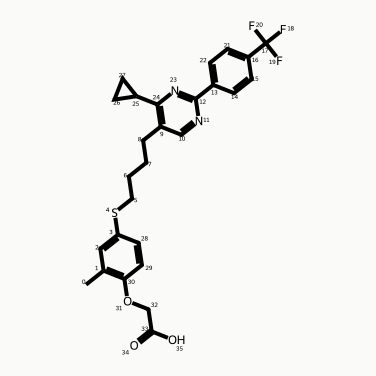 Cc1cc(SCCCCc2cnc(-c3ccc(C(F)(F)F)cc3)nc2C2CC2)ccc1OCC(=O)O